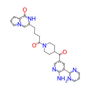 Nc1ncc(C(=O)C2CCN(C(=O)CCCc3cn4cccc4c(=O)[nH]3)CC2)cc1-c1ncccn1